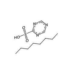 CCCCCCCC.O=S(=O)(O)c1ncncn1